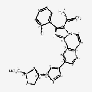 C=C(C)c1c(-c2ccccc2Cl)nc2c3cc(-c4cnn([C@H]5CCN(C(=O)O)C5)c4)cnc3ccn12